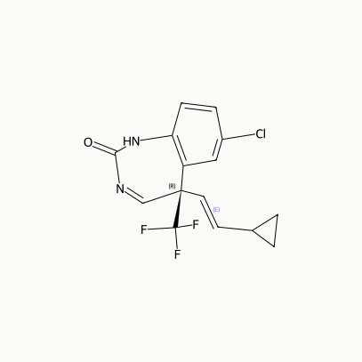 O=C1N=C[C@](/C=C/C2CC2)(C(F)(F)F)c2cc(Cl)ccc2N1